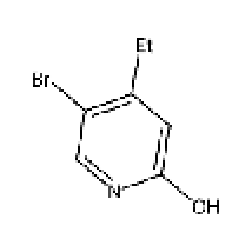 CCc1cc(O)ncc1Br